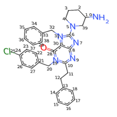 NC1CCCN(c2nc3nc(CCc4ccccc4)n(Cc4ccc(Cl)cc4)c(=O)c3n2Cc2ccccc2)C1